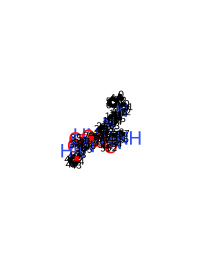 CC(C)c1ccccc1C1CCCN1C1CC2(CCN(c3ccc(C(=O)NS(=O)(=O)c4cc([N+](=O)[O-])c(NCC5CCCCC5)cn4)c(N4CCCOc5nc6[nH]ccc6cc54)c3)CC2)C1